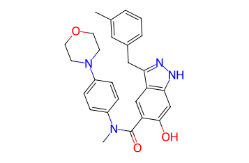 Cc1cccc(Cc2n[nH]c3cc(O)c(C(=O)N(C)c4ccc(N5CCOCC5)cc4)cc23)c1